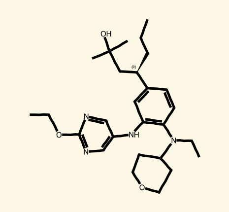 CCC[C@H](CC(C)(C)O)c1ccc(N(CC)C2CCOCC2)c(Nc2cnc(OCC)nc2)c1